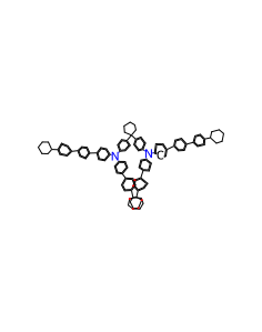 c1cc(-c2ccc(N(c3ccc(-c4ccc(C5CCCCC5)cc4)cc3)c3ccc(C4(c5ccc(N(c6ccc(-c7ccc(-c8ccc(C9CCCCC9)cc8)cc7)cc6)c6ccc(-c7ccc(C8CCCCC8)cc7)cc6)cc5)CCCCC4)cc3)cc2)ccc1-c1ccc(C2CCCCC2)cc1